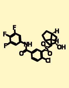 O=C(Nc1cc(F)c(F)c(F)c1)c1ccc(Cl)c(S(=O)(=O)C[C@@H]2C3CC[C@H]2C[C@H](O)C3)c1